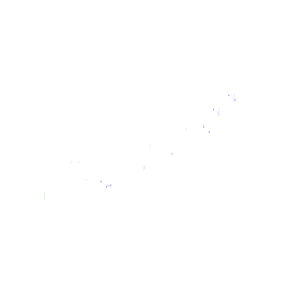 [N-]=[N+]=NCCCCCNC(=O)CBr